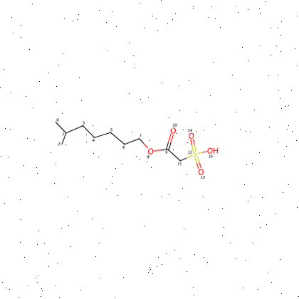 CC(C)CCCCCOC(=O)CS(=O)(=O)O